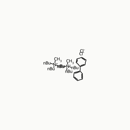 CCCC[N+](C)(CCCC)CCCC.CCCC[N+](C)(CCCC)CCCC.[Cl-].[Cl-].c1ccc(-c2ccccc2)cc1